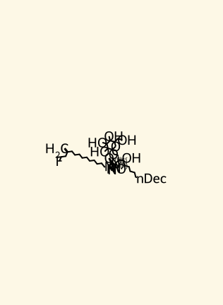 C=C(CCF)CCCCCCCCCCn1nnn([C@@H](COC2OC(CO)C(O)C(O)C2O)[C@H](O)[C@H](O)CCCCCCCCCCCCCC)c1=O